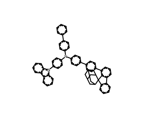 c1ccc(-c2ccc(N(c3ccc(-c4ccc(-c5cccc6c5C5(c7ccccc7-6)C6CC7CC(C6)CC5C7)cc4)cc3)c3ccc(-n4c5ccccc5c5ccccc54)cc3)cc2)cc1